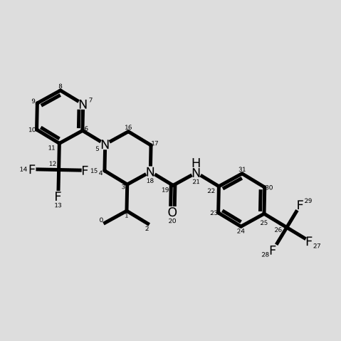 CC(C)C1CN(c2ncccc2C(F)(F)F)CCN1C(=O)Nc1ccc(C(F)(F)F)cc1